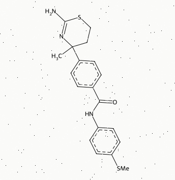 CSc1ccc(NC(=O)c2ccc(C3(C)CCSC(N)=N3)cc2)cc1